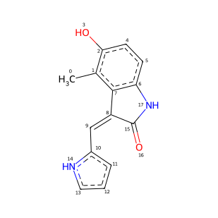 Cc1c(O)ccc2c1/C(=C/c1ccc[nH]1)C(=O)N2